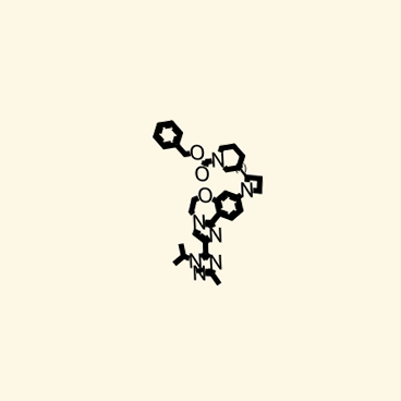 Cc1nc(-c2cn3c(n2)-c2ccc(N4CCC4[C@@H]4CCCN(C(=O)OCc5ccccc5)C4)cc2OCC3)n(C(C)C)n1